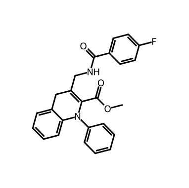 COC(=O)C1=C(CNC(=O)c2ccc(F)cc2)Cc2ccccc2N1c1ccccc1